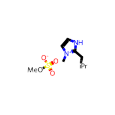 CC(C)Cc1[nH]cc[n+]1C.COS(=O)(=O)[O-]